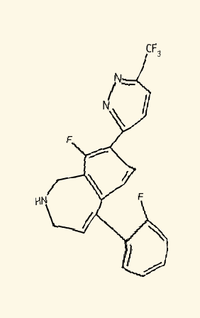 Fc1ccccc1C1=CCNCc2c1ccc(-c1ccc(C(F)(F)F)nn1)c2F